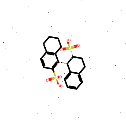 O=S(=O)(O)c1ccc2c(c1[C@H]1c3ccccc3CC[C@H]1S(=O)(=O)O)CCCC2